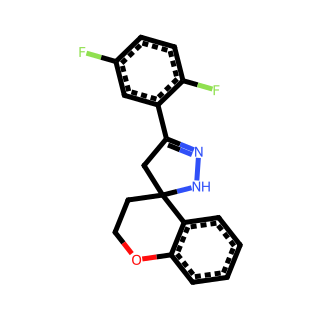 Fc1ccc(F)c(C2=NNC3(CCOc4ccccc43)C2)c1